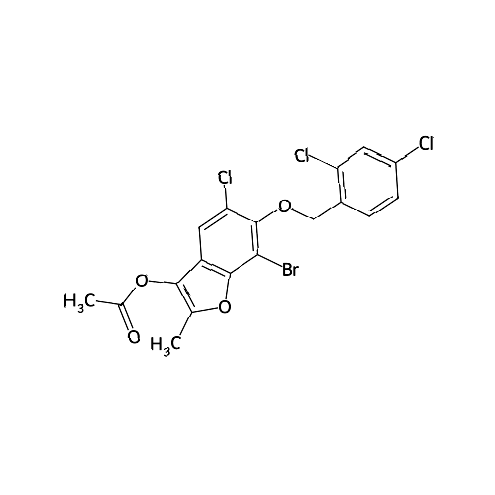 CC(=O)Oc1c(C)oc2c(Br)c(OCc3ccc(Cl)cc3Cl)c(Cl)cc12